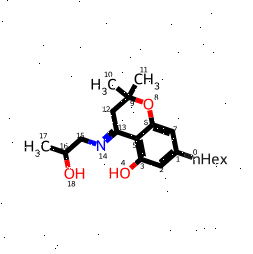 CCCCCCc1cc(O)c2c(c1)OC(C)(C)CC2=NCC(C)O